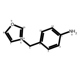 Nc1ccc(C[n+]2ccoc2)cc1